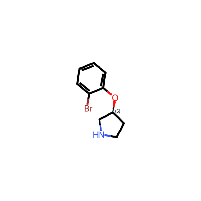 Brc1ccccc1O[C@H]1CCNC1